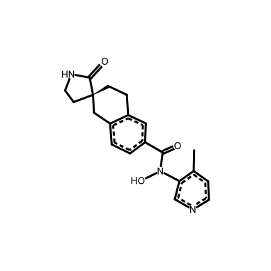 Cc1ccncc1N(O)C(=O)c1ccc2c(c1)CC[C@]1(CCNC1=O)C2